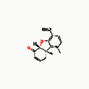 COc1ccc(C)c2c1O[C@H]1C(=O)C=CC[C@@]21C